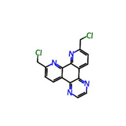 ClCc1ccc2c3nccnc3c3ccc(CCl)nc3c2n1